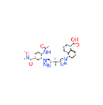 CON(C)C(=O)c1ccc(NC(C)=O)c(-n2cc(C(C)(C)c3cn(-c4cccc5c(C(=O)O)cccc45)nn3)nn2)c1